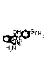 CSc1ccc(NC(O)C2C(C(N)=O)C3CCC2C3(C)C)cc1